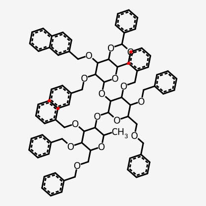 CC1OC(COCc2ccccc2)C(OCc2ccccc2)C(OCc2ccccc2)C1OC1OC(COCc2ccccc2)C(OCc2ccccc2)C(OCc2ccccc2)C1OC1OC2COC(c3ccccc3)OC2C(OCc2ccc3ccccc3c2)C1OCc1ccccc1